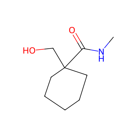 CNC(=O)C1(CO)CCCCC1